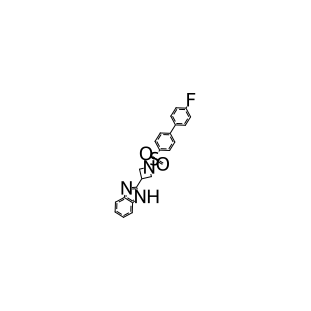 O=S(=O)(c1ccc(-c2ccc(F)cc2)cc1)N1CC(c2nc3ccccc3[nH]2)C1